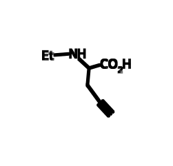 C#CCC(NCC)C(=O)O